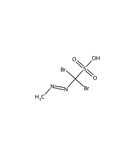 CN=NC(Br)(Br)S(=O)(=O)O